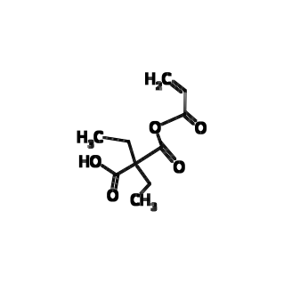 C=CC(=O)OC(=O)C(CC)(CC)C(=O)O